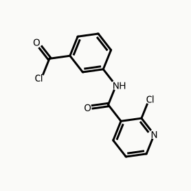 O=C(Cl)c1cccc(NC(=O)c2cccnc2Cl)c1